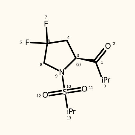 CC(C)C(=O)[C@@H]1CC(F)(F)CN1S(=O)(=O)C(C)C